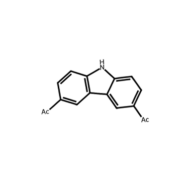 CC(=O)c1ccc2[nH]c3ccc(C(C)=O)cc3c2c1